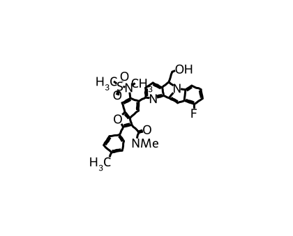 CNC(=O)c1c(-c2ccc(C)cc2)oc2cc(N(C)S(C)(=O)=O)c(-c3ccc4c(n3)-c3cc5c(F)cccc5n3C4CO)cc12